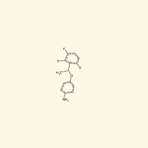 CC(Oc1ccc(N)cc1)c1c(F)ccc(F)c1F